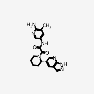 Cc1cc(NC(=O)C(=O)N2CCCC[C@H]2c2cnc3[nH]ncc3c2)cnc1N